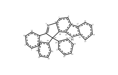 c1ccc(C2=Nc3ccc4c([nH]c5ccccc54)c3C2(c2ccccc2)c2ccccc2)cc1